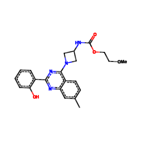 COCCOC(=O)NC1CN(c2nc(-c3ccccc3O)nc3cc(C)ccc23)C1